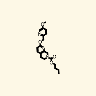 CCCCOC(=O)N1CCc2ccc(OCc3ccc(OC)cn3)nc2C1